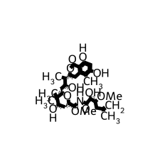 C=C(C)CC(OC)[C@H](O)C(=O)N[C@@H](OC)[C@@H]1C[C@@H](O)C(C)(C)[C@@H](C[C@H](O)C(C)[C@H]2Cc3c(C)c(O)cc(O)c3C(=O)O2)O1